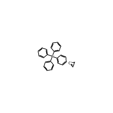 [C+]1=CC1.c1ccc([B-](c2ccccc2)(c2ccccc2)c2ccccc2)cc1